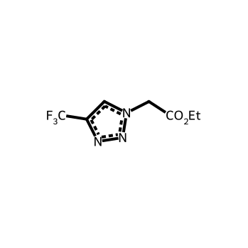 CCOC(=O)Cn1cc(C(F)(F)F)nn1